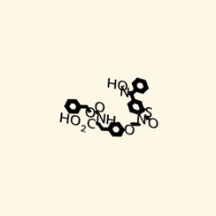 O=C(NC(Cc1ccc(OCCn2c(=O)sc3cc(C(=NO)c4ccccc4)ccc32)cc1)C(=O)O)OCc1ccccc1